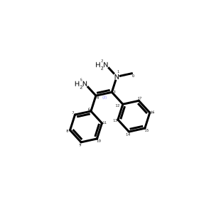 CN(N)/C(=C(\N)c1ccccc1)c1ccccc1